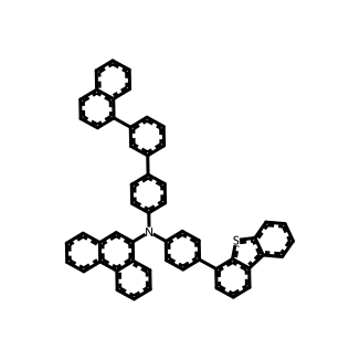 c1cc(-c2ccc(N(c3ccc(-c4cccc5c4sc4ccccc45)cc3)c3cc4ccccc4c4ccccc34)cc2)cc(-c2cccc3ccccc23)c1